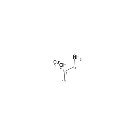 C=CCN.Cl.[Cu]